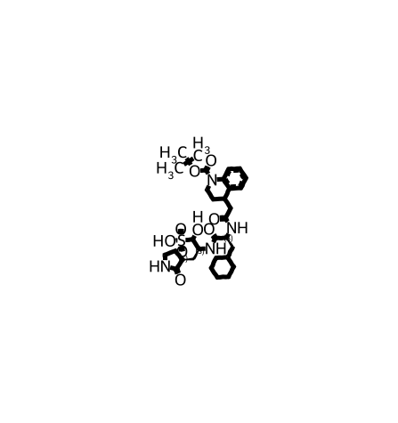 CC(C)(C)OC(=O)N1CCC(CC(=O)N[C@@H](CC2CCCCC2)C(=O)N[C@@H](C[C@@H]2CCNC2=O)C(O)S(=O)(=O)O)c2ccccc21